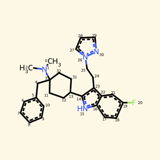 CN(C)C1(Cc2ccccc2)CCC(c2[nH]c3ccc(F)cc3c2CCn2cccn2)CC1